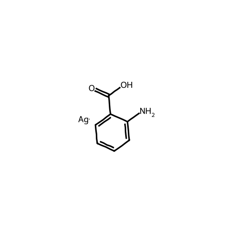 Nc1ccccc1C(=O)O.[Ag]